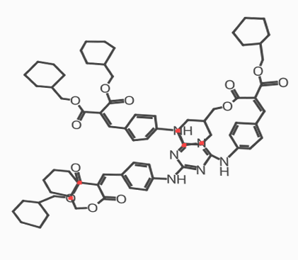 O=C(OCC1CCCCC1)C(=Cc1ccc(Nc2nc(Nc3ccc(C=C(C(=O)OCC4CCCCC4)C(=O)OCC4CCCCC4)cc3)nc(Nc3ccc(C=C(C(=O)OCC4CCCCC4)C(=O)OCC4CCCCC4)cc3)n2)cc1)C(=O)OCC1CCCCC1